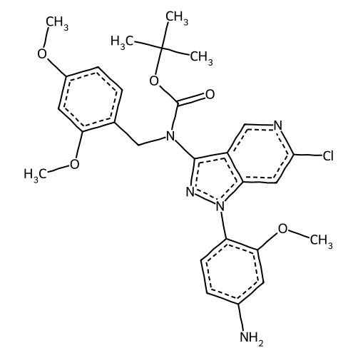 COc1ccc(CN(C(=O)OC(C)(C)C)c2nn(-c3ccc(N)cc3OC)c3cc(Cl)ncc23)c(OC)c1